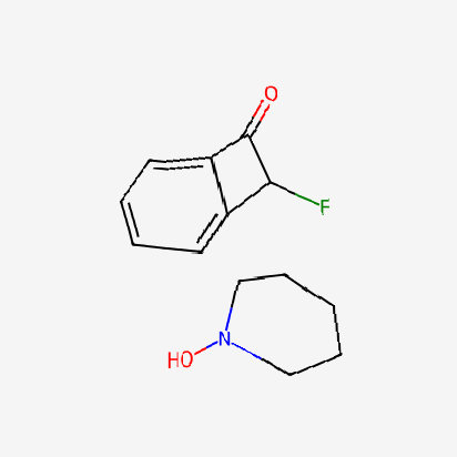 O=C1c2ccccc2C1F.ON1CCCCC1